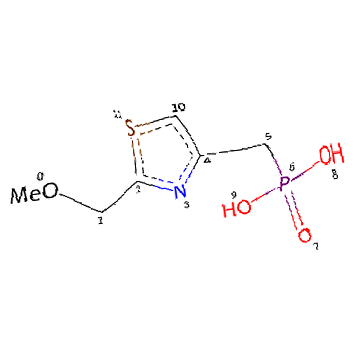 COCc1nc(CP(=O)(O)O)cs1